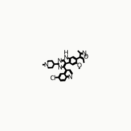 COc1cc2c(cc1-c1c(C)noc1C)[nH]c1nc(C3CCN(C)CC3)nc(-c3ccnc4ccc(Cl)cc34)c12